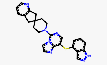 c1cnc2c(c1)CC1(CCN(c3ncc(Sc4cccc5[nH]ncc45)c4nccn34)CC1)C2